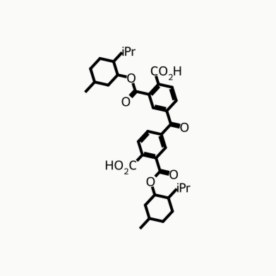 CC1CCC(C(C)C)C(OC(=O)c2cc(C(=O)c3ccc(C(=O)O)c(C(=O)OC4CC(C)CCC4C(C)C)c3)ccc2C(=O)O)C1